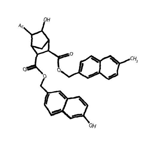 CC(=O)C1C(O)C2CC1C(C(=O)OCc1ccc3cc(O)ccc3c1)C2C(=O)OCc1ccc2cc(C)ccc2c1